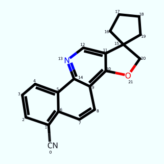 N#Cc1cccc2c1ccc1c3c(cnc12)C1(CCCC1)CO3